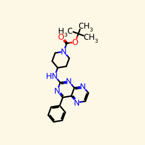 CC(C)(C)OC(=O)N1CCC(Nc2nc(-c3ccccc3)c3nccnc3n2)CC1